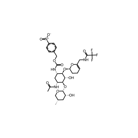 CC(=O)N[C@@H]1C[C@H](NC(=O)OCc2ccc([N+](=O)[O-])cc2)[C@@H](O[C@@H]2CCC=C(CNC(=O)C(F)(F)F)O2)[C@H](O)[C@H]1O[C@H]1OC[C@@H](C)C[C@H]1O